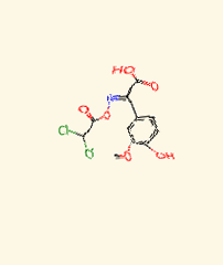 COc1cc(/C(=N\OC(=O)C(Cl)Cl)C(=O)O)ccc1O